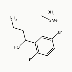 B.CSC.NCCC(O)c1cc(Br)ccc1F